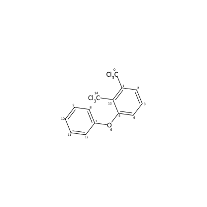 ClC(Cl)(Cl)c1cccc(Oc2ccccc2)c1C(Cl)(Cl)Cl